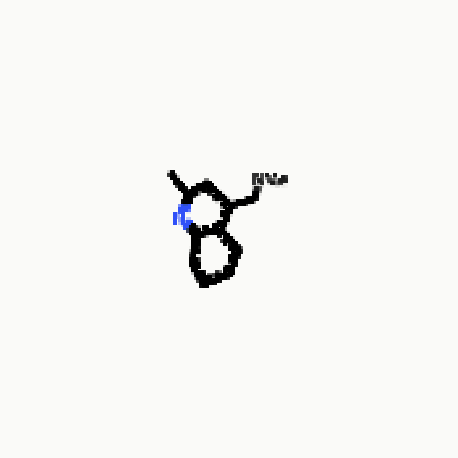 CNCc1cc(C)nc2ccccc12